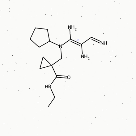 CCBC(=O)C1(CN(/C(N)=C(\N)C=N)C2CCCC2)CC1